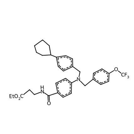 CCOC(=O)CCNC(=O)c1ccc(N(Cc2ccc(OC(F)(F)F)cc2)Cc2ccc(C3CCCCC3)cc2)cc1